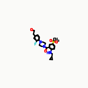 CS(=O)(=O)c1ccc(NCC2CC2)c(C(=O)N2CCN(c3ccc(CC=O)cc3F)CC2)c1